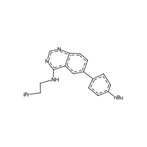 CCCCc1ccc(-c2ccc3ncnc(NCCC(C)C)c3c2)cc1